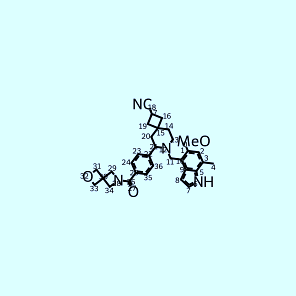 COc1cc(C)c2[nH]ccc2c1CN1CCC2(CC(C#N)C2)CC1c1ccc(C(=O)N2CC3(COC3)C2)cc1